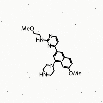 COCCNc1nccc(-c2cc(N3CCNCC3)c3cc(OC)ccc3c2)n1